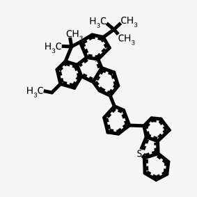 CCc1cc2c3c(c1)c1cc(-c4cccc(-c5cccc6c5sc5ccccc56)c4)ccc1c1cc(C(C)(C)C)cc(c13)C2(C)C